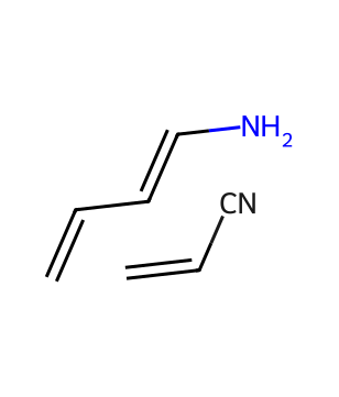 C=CC#N.C=CC=CN